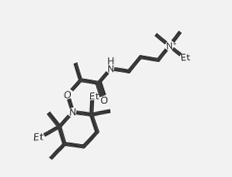 CCC1(C)CCC(C)C(C)(CC)N1OC(C)C(=O)NCCC[N+](C)(C)CC